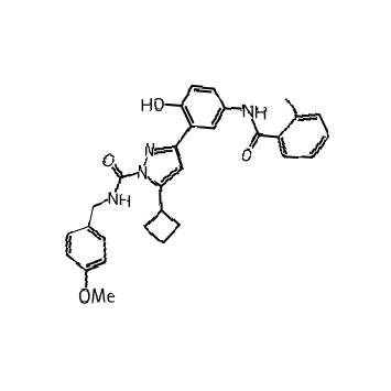 COc1ccc(CNC(=O)n2nc(-c3cc(NC(=O)c4ccccc4C)ccc3O)cc2C2CCC2)cc1